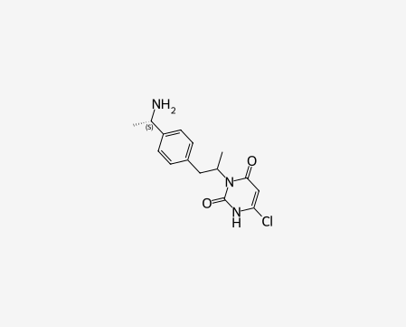 CC(Cc1ccc([C@H](C)N)cc1)n1c(=O)cc(Cl)[nH]c1=O